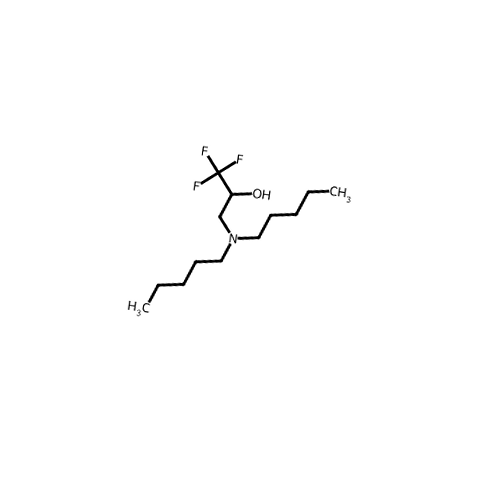 CCCCCN(CCCCC)CC(O)C(F)(F)F